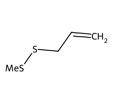 C=CCSSC